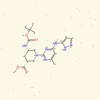 COC(=O)[C@@H]1C[C@H](NC(=O)OC(C)(C)C)CN(c2nc(C)cc(Nc3ccn[nH]3)n2)C1